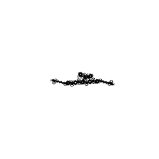 C=CC(=O)OCCCCCCOc1ccc(OC(=O)C2CCC(C(=O)Oc3ccc(OC(=O)[C@H]4CC[C@H](C(=O)Oc5ccc(OCCCCCCOC(=O)C=C)cc5)CC4)c(/C=N/N(C(=S)Nc4ccccc4)c4nc5ccccc5s4)c3)CC2)cc1